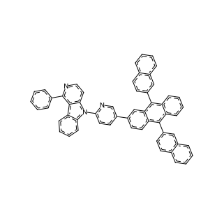 c1ccc(-c2nccc3c2c2ccccc2n3-c2ccc(-c3ccc4c(-c5ccc6ccccc6c5)c5ccccc5c(-c5ccc6ccccc6c5)c4c3)cn2)cc1